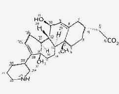 C[C@]12CC[C@@H](CC(=O)O)CC1=C[C@H](O)[C@@H]1[C@@H]2CC[C@]2(C)C(C3CCCNC3)=CC[C@@H]12